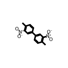 Cc1ccc(-c2ccc(C)c([N+](=O)[O-])c2)cc1[N+](=O)[O-]